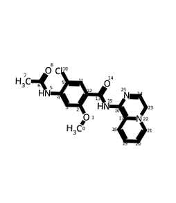 COc1cc(NC(C)=O)c(Cl)cc1C(=O)NC1=C2C=CC=CN2CC=N1